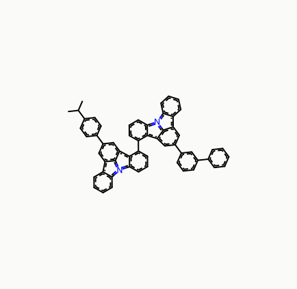 CC(C)c1ccc(-c2cc3c4ccccc4n4c5cccc(-c6cccc7c6c6cc(-c8cccc(-c9ccccc9)c8)cc8c9ccccc9n7c86)c5c(c2)c34)cc1